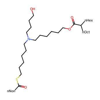 CCCCCCCCCC(=O)SCCCCCCN(CCCCO)CCCCCCOC(=O)C(CCCCCC)CCCCCCCC